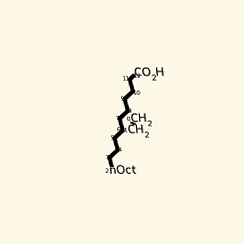 C=C.CCCCCCCCCCCCCCCCCC(=O)O